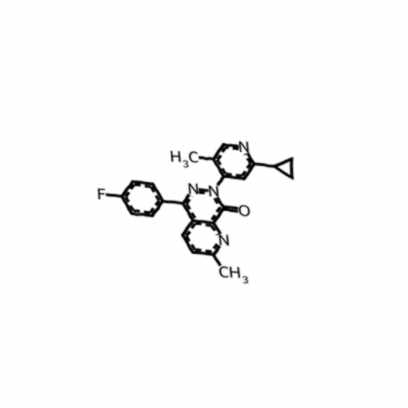 Cc1ccc2c(-c3ccc(F)cc3)nn(-c3cc(C4CC4)ncc3C)c(=O)c2n1